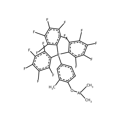 Cc1cc([B-](c2c(F)c(F)c(F)c(F)c2F)(c2c(F)c(F)c(F)c(F)c2F)c2c(F)c(F)c(F)c(F)c2F)ccc1[O][Al]([CH3])[CH3]